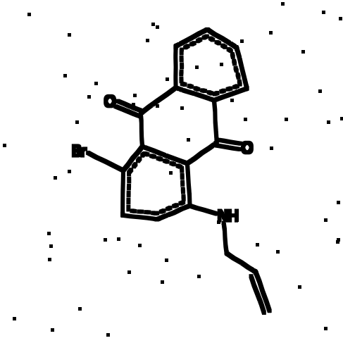 C=CCNc1ccc(Br)c2c1C(=O)c1ccccc1C2=O